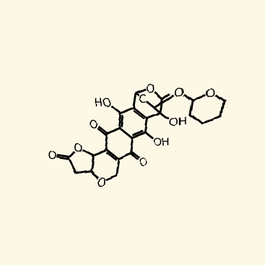 CC1OC2CC(OC3CCCCO3)C1(O)c1c(O)c3c(c(O)c12)C(=O)C1=C(COC2CC(=O)OC12)C3=O